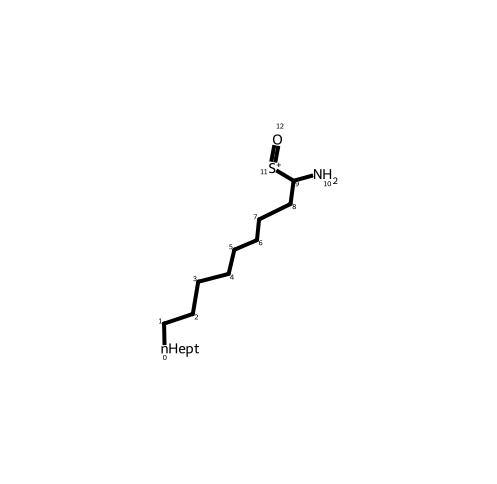 CCCCCCCCCCCCCCCC(N)[S+]=O